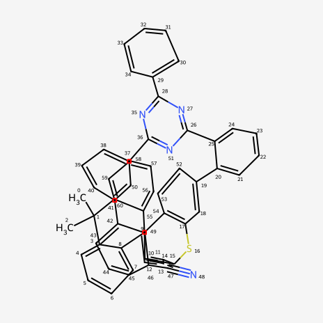 CC1(C)c2ccccc2C2(c3ccccc3Sc3cc(-c4ccccc4-c4nc(-c5ccccc5)nc(-c5cccc(-c6cccc(C#N)c6)c5)n4)ccc32)c2ccccc21